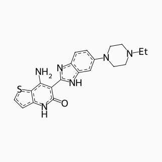 CCN1CCN(c2ccc3nc(-c4c(N)c5sccc5[nH]c4=O)[nH]c3c2)CC1